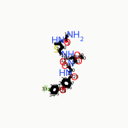 NCC(=O)Nc1csc(CNC(=O)[C@@H]2CC3(CN2C(=O)CNC(=O)c2ccc(Oc4ccc(F)cc4)cc2)OCCO3)c1